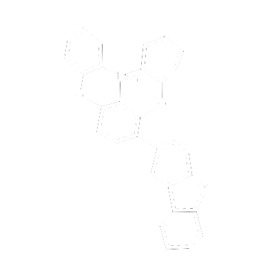 O=P12c3ccccc3Oc3ccc(-c4ccc5sc6ccccc6c5c4)c(c31)Oc1ccccc12